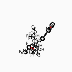 CC(C)([C@H](NC(=O)OC1COC1)C(=O)N[C@@H](Cc1ccc(C#Cc2ccc(N3CC4CCC(C3)N4C3COC3)nc2)cc1)[C@@H](O)CN(Cc1c(F)cc(-c2ccn(C(F)F)n2)cc1F)NC(=O)[C@@H](N(C(=O)O)C1COC1)C(C)(C)C(F)(F)F)C(F)(F)F